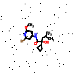 COc1cc(NC(=O)C(O)(CC(C)C)C2CCC2)cc(Br)n1